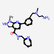 CC(C)N1NCc2c(C(=O)N(C)Cc3ccccn3)cc(-c3cccc(CN(C)CCN)c3)nc21